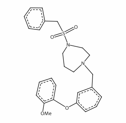 COc1ccccc1Oc1cccc(CN2CCCN(S(=O)(=O)Cc3ccccc3)CC2)c1